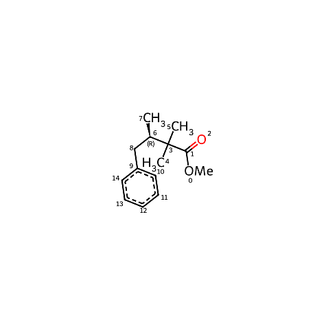 COC(=O)C(C)(C)[C@H](C)Cc1ccccc1